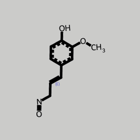 COc1cc(/C=C/CN=O)ccc1O